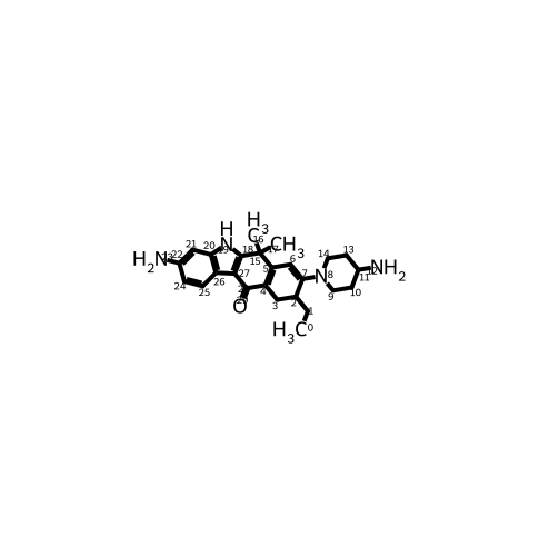 CCC1CC2=C(C=C1N1CCC(N)CC1)C(C)(C)c1[nH]c3cc(N)ccc3c1C2=O